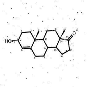 C[C@]12CC[C@H](O)C=C1CCC1C2CC[C@]2(C)C(=O)CCC12